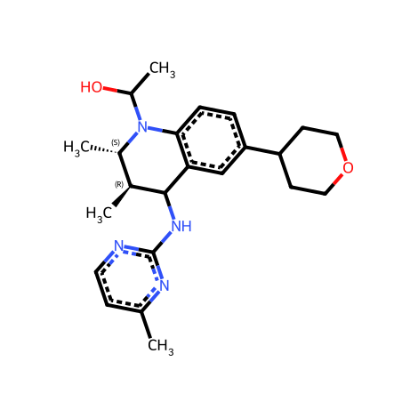 Cc1ccnc(NC2c3cc(C4CCOCC4)ccc3N(C(C)O)[C@@H](C)[C@@H]2C)n1